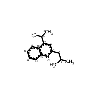 CC(C)Cc1cc(C(C)C)c2ccccc2n1